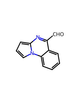 O=Cc1nc2cccn2c2ccccc12